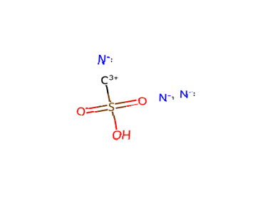 [C+3]S(=O)(=O)O.[N-].[N-].[N-]